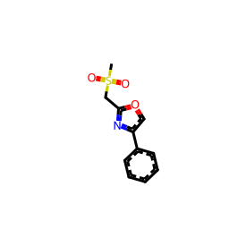 CS(=O)(=O)Cc1nc(-c2ccccc2)co1